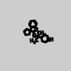 CC(C)(OC(=O)C1(c2ccccc2)CCCC1)C1CCNCC1